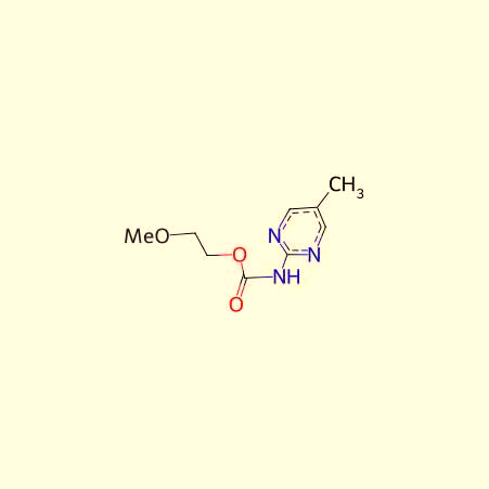 COCCOC(=O)Nc1ncc(C)cn1